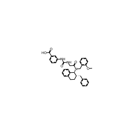 COc1ccccc1CN(C(=O)CNC(=O)Nc1cccc(C(=O)O)c1)[C@@H]1c2ccccc2CC[C@H]1Cc1ccccc1